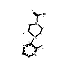 C[C@@H]1CN(C(=O)O)CCN1c1nccnc1Cl